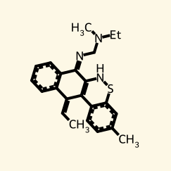 C/C=C1C2=C(NSc3cc(C)ccc32)/C(=N\CN(C)CC)c2ccccc2\1